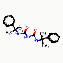 CC(C)(NC(=O)NC(=O)NC(C)(C)c1ccccc1)c1ccccc1